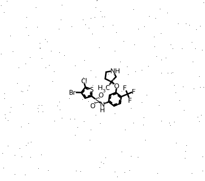 C[C@@]1(Oc2cc(NS(=O)(=O)c3cc(Br)c(Cl)s3)ccc2C(F)(F)F)CCNC1